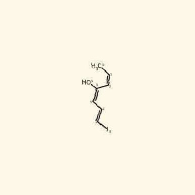 C\C=C/C(O)=C\C=C\I